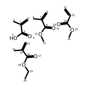 C=C(C)C(=O)O.C=C(C)C(=O)OC.C=C(C)C(=O)OCC.C=CC(=O)OC